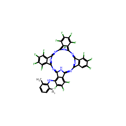 Cc1cccc(C)c1Nc1c(F)c(F)c(F)c2c3nc4nc(nc5c6c(F)c(F)c(F)c(F)c6c(nc6nc(nc([nH]3)c12)-c1c(F)c(F)c(F)c(F)c1-6)n5F)-c1c-4cc(F)c(F)c1F